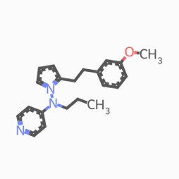 CCCN(c1ccncc1)n1cccc1CCc1cccc(OC)c1